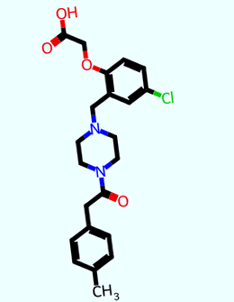 Cc1ccc(CC(=O)N2CCN(Cc3cc(Cl)ccc3OCC(=O)O)CC2)cc1